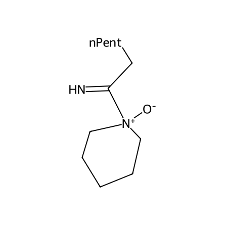 CCCCCCC(=N)[N+]1([O-])CCCCC1